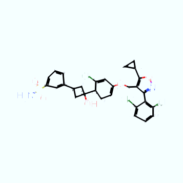 NS(=O)(=O)c1cccc(C2CC(O)(C3CC=C(OCc4c(-c5c(Cl)cccc5Cl)noc4C4CC4)C=C3Cl)C2)c1